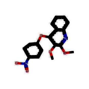 COc1nc2ccccc2c(Oc2ccc([N+](=O)[O-])cc2)c1OC